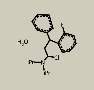 CC(C)N(C(C)C)C(Cl)CC(c1ccccc1)c1ccccc1F.O